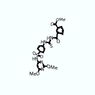 COC(=O)c1cccc(C(=O)NC(=S)Nc2ccc(S(=O)(=O)Nc3cc(OC)nc(OC)n3)cc2)c1